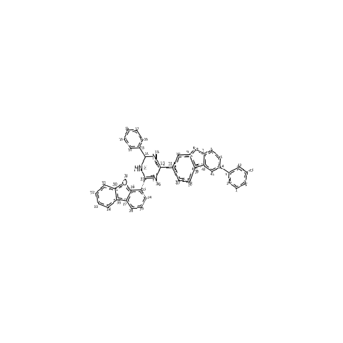 c1ccc(-c2ccc3sc4cc(C5=NC(c6ccccc6)NC(c6cccc7c6oc6ccccc67)=N5)ccc4c3c2)cc1